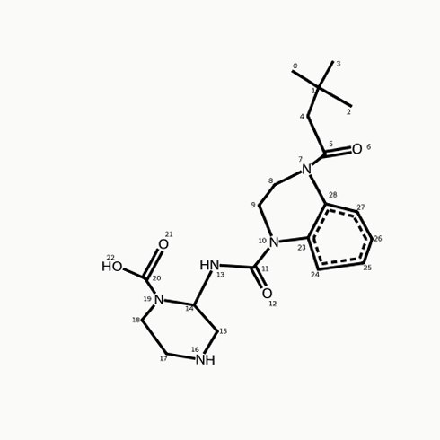 CC(C)(C)CC(=O)N1CCN(C(=O)NC2CNCCN2C(=O)O)c2ccccc21